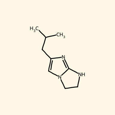 CC(C)Cc1cn2c(n1)NCC2